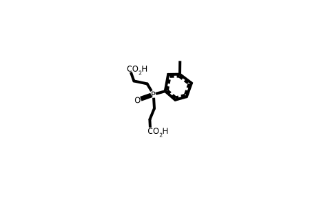 Cc1cccc(P(=O)(CCC(=O)O)CCC(=O)O)c1